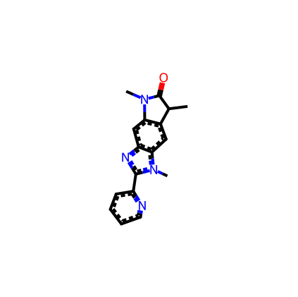 CC1C(=O)N(C)c2cc3nc(-c4ccccn4)n(C)c3cc21